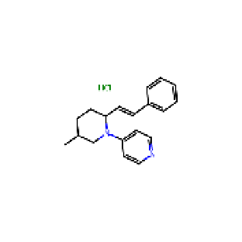 CC1CCC(C=Cc2ccccc2)N(c2ccncc2)C1.Cl